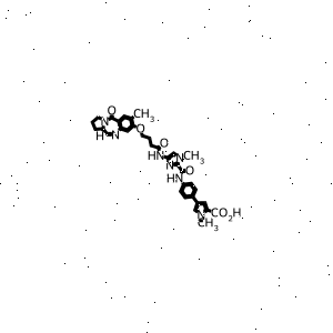 Cc1cc2c(cc1OCCCC(=O)Nc1cn(C)c(C(=O)Nc3ccc(-c4cc(C(=O)O)n(C)c4)cc3)n1)N=C[C@@H]1CCCN1C2=O